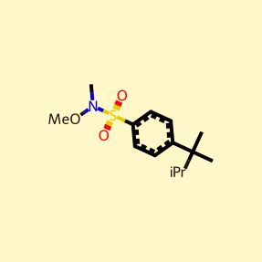 CON(C)S(=O)(=O)c1ccc(C(C)(C)C(C)C)cc1